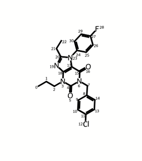 CCCn1c(=O)n(Cc2ccc(Cl)cc2)c(=O)c2c1nc(CC)n2-c1ccc(F)cc1